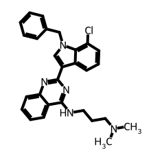 CN(C)CCCNc1nc(-c2cn(Cc3ccccc3)c3c(Cl)cccc23)nc2ccccc12